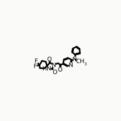 CN(c1ccccc1)c1ccc(C(=O)CN2C(=O)NC3(CCC(F)(F)CC3)C2=O)cn1